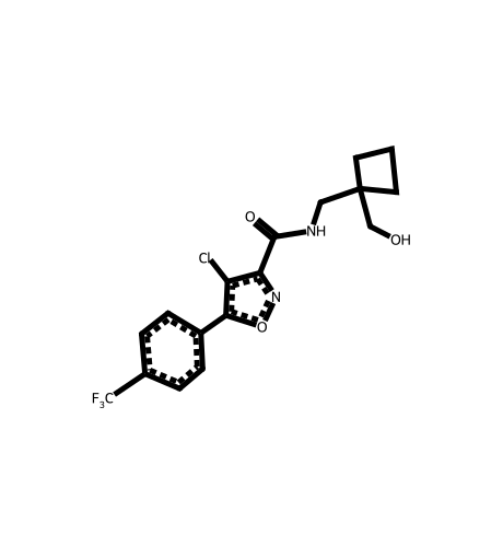 O=C(NCC1(CO)CCC1)c1noc(-c2ccc(C(F)(F)F)cc2)c1Cl